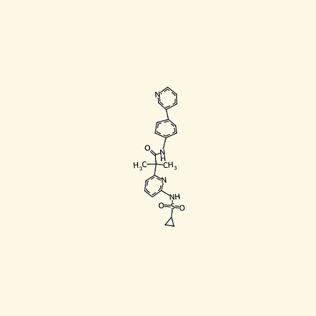 CC(C)(C(=O)Nc1ccc(-c2cccnc2)cc1)c1cccc(NS(=O)(=O)C2CC2)n1